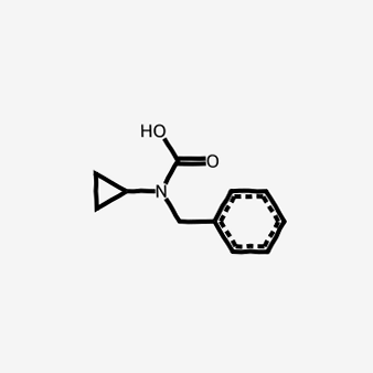 O=C(O)N(Cc1ccccc1)C1CC1